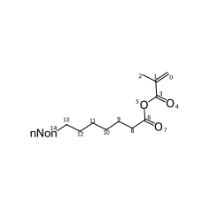 C=C(C)C(=O)OC(=O)CCCCCCCCCCCCCCC